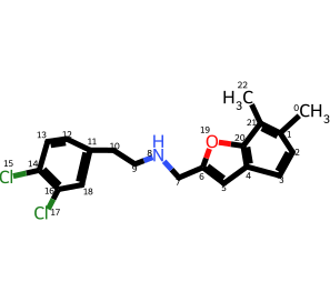 Cc1ccc2cc(CNCCc3ccc(Cl)c(Cl)c3)oc2c1C